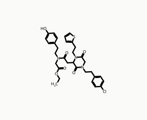 CCOC(=O)CN(CCc1ccc(O)cc1)C(=O)CC1C(=O)N(CCc2ccc(Cl)cc2)CC(=O)N1CCc1cccs1